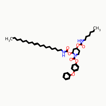 CCCCCCCCC=CCCCCCCCCNC(=O)OC1CC(OC(=O)NCCCCCC)CCN1C(=O)Oc1ccc(Oc2ccccc2)cc1